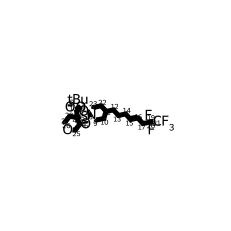 CC(C)(C)OC(=O)C1(S(=O)(=O)N2CCC(CCCC=CCC(F)(F)C(F)(F)F)CC2)CCOCC1